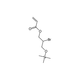 C=CC(=O)OCC(Br)CO[Si](C)(C)C